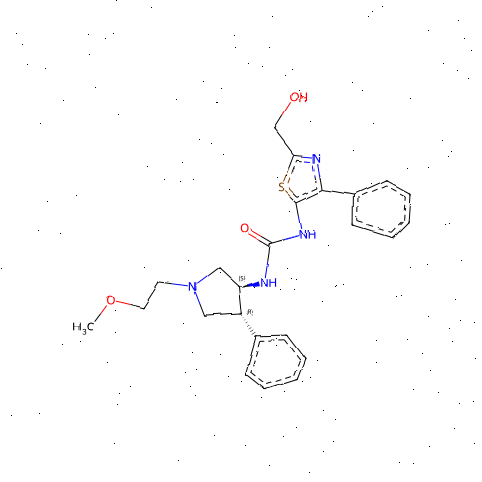 COCCN1C[C@@H](NC(=O)Nc2sc(CO)nc2-c2ccccc2)[C@H](c2ccccc2)C1